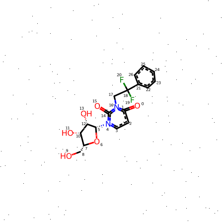 O=c1ccn([C@@H]2O[C@H](CO)[C@H](O)[C@@H]2O)c(=O)n1CC(F)(F)c1ccccc1